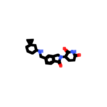 O=C1CCC(N2Cc3cc(CNC4CCCC5(CC5)C4)ccc3C2=O)C(=O)N1